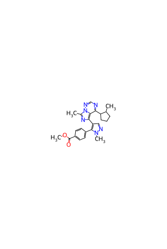 COC(=O)c1ccc(-c2c(-c3nc(C)n4ncnc(C5CCCC5C)c34)cnn2C)cc1